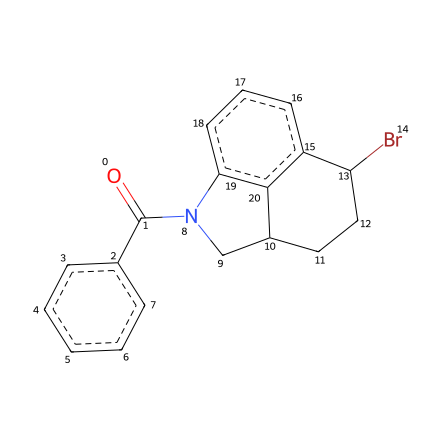 O=C(c1ccccc1)N1CC2CCC(Br)c3cccc1c32